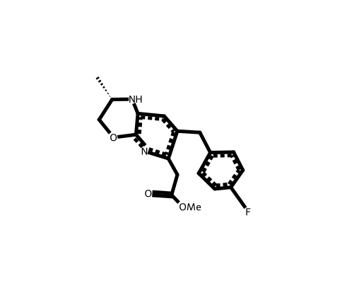 COC(=O)Cc1nc2c(cc1Cc1ccc(F)cc1)N[C@@H](C)CO2